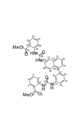 COC(=O)c1ccccc1NC(=O)Nc1cccc(-c2cccc3cc(NC(=O)Nc4ccccc4C(=O)OC)ccc23)c1